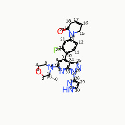 C[C@@H]1COCCN1c1cc(-c2ccc(N3CC=CCC3=O)cc2F)c2cnn(-c3cc[nH]n3)c2n1